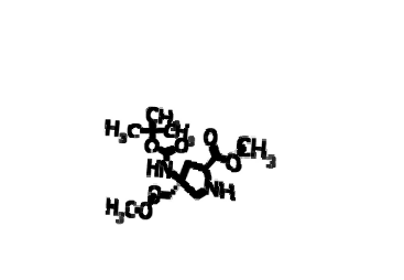 COOC[C@@]1(NC(=O)OC(C)(C)C)CN[C@H](C(=O)OC)C1